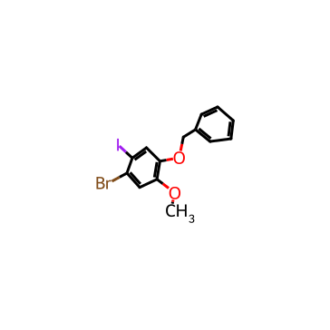 COc1cc(Br)c(I)cc1OCc1ccccc1